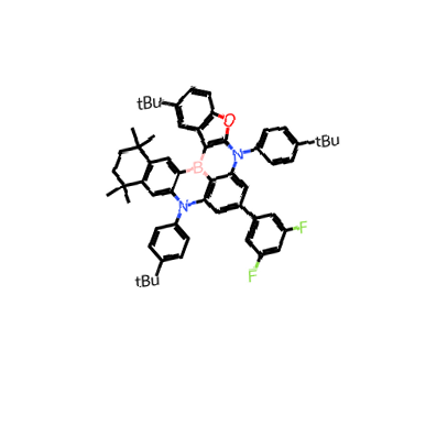 CC(C)(C)c1ccc(N2c3cc4c(cc3B3c5c2cc(-c2cc(F)cc(F)c2)cc5N(c2ccc(C(C)(C)C)cc2)c2oc5ccc(C(C)(C)C)cc5c23)C(C)(C)CCC4(C)C)cc1